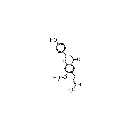 COc1cc2c(cc1C/C=C(/C)I)C(=O)CC(c1ccc(O)cc1)O2